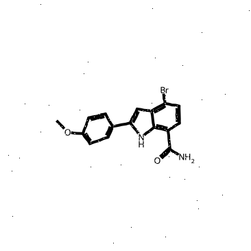 COc1ccc(-c2cc3c(Br)ccc(C(N)=O)c3[nH]2)cc1